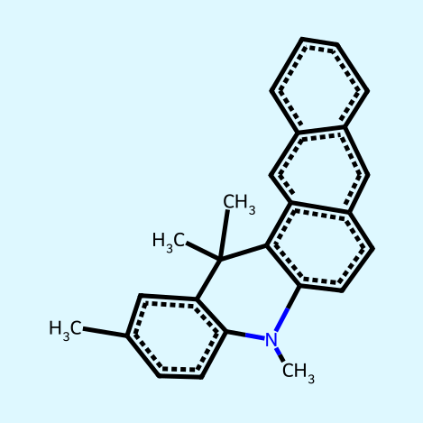 Cc1ccc2c(c1)C(C)(C)c1c(ccc3cc4ccccc4cc13)N2C